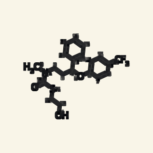 CN(CCC(Oc1ccc(C(F)(F)F)cc1)c1ccccc1)C(=O)SCCO